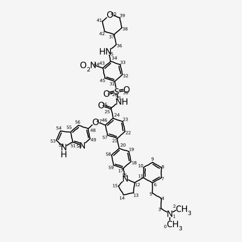 CN(C)CCCc1ccccc1C1CCCN1c1ccc(-c2ccc(C(=O)NS(=O)(=O)c3ccc(NCC4CCOCC4)c([N+](=O)[O-])c3)c(Oc3cnc4[nH]ccc4c3)c2)cc1